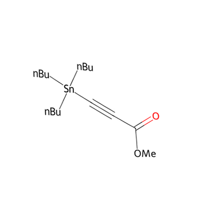 CCC[CH2][Sn]([C]#CC(=O)OC)([CH2]CCC)[CH2]CCC